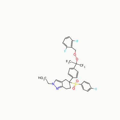 O=C(O)Cn1cc2c(n1)CCC(c1ccc(C(OOCc3c(F)cccc3F)(C(F)(F)F)C(F)(F)F)cc1)(S(=O)(=O)c1ccc(F)cc1)C2